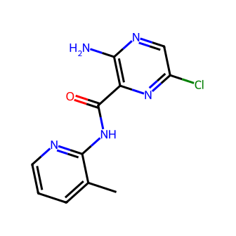 Cc1cccnc1NC(=O)c1nc(Cl)cnc1N